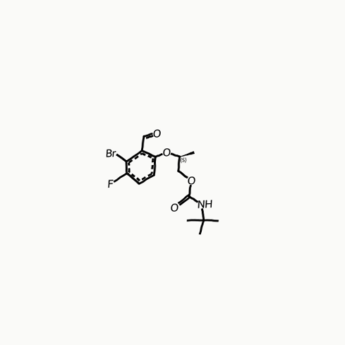 C[C@@H](COC(=O)NC(C)(C)C)Oc1ccc(F)c(Br)c1C=O